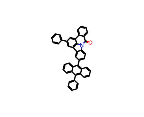 O=c1c2ccccc2c2cc(-c3ccccc3)cc3c4cc(-c5c6ccccc6c(-c6ccccc6)c6ccccc56)ccc4n1c23